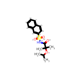 CC(C)OC(C)(C)C(=O)NS(=O)(=O)c1ccc2ccccc2c1